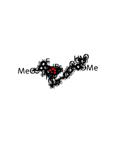 COCOc1cc(-c2ncc3c(N4CC5CCC(C4)N5C(=O)OC(C)(C)C)nc(OCC4(CN5CC(CCN6CCC7(CC6)CCN(C(=O)c6ccc(OC)c(N8CCC(=O)NC8=O)c6)CC7)C5)CC4)nc3c2F)c2c(C#C[Si](C(C)C)(C(C)C)C(C)C)c(F)ccc2c1